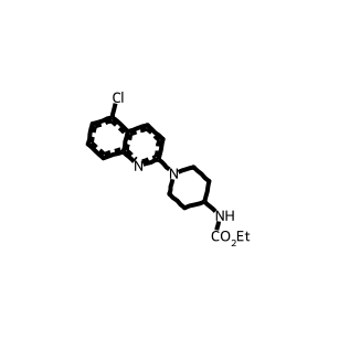 CCOC(=O)NC1CCN(c2ccc3c(Cl)cccc3n2)CC1